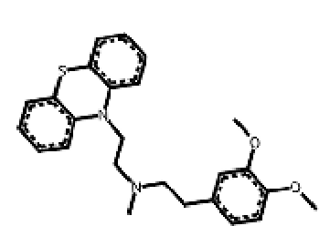 COc1ccc(CCN(C)CCN2c3ccccc3Sc3ccccc32)cc1OC